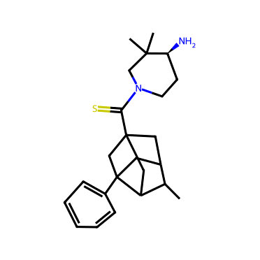 CC1C2CC3(C(=S)N4CC[C@H](N)C(C)(C)C4)CC1C(c1ccccc1)(C2)C3